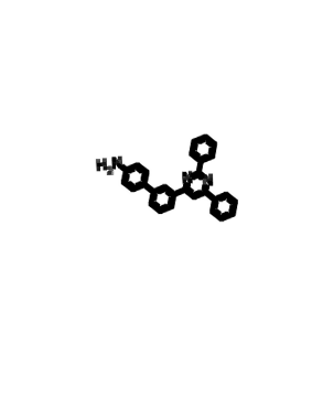 Nc1ccc(-c2cccc(-c3cc(-c4ccccc4)nc(-c4ccccc4)n3)c2)cc1